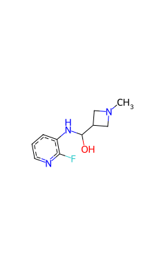 CN1CC(C(O)Nc2cccnc2F)C1